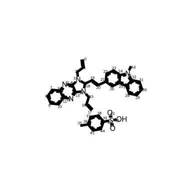 C=CCN1c2nc3ccccc3nc2N(CC=C)C1C=Cc1ccc2c(c1)c1ccccc1n2C.Cc1ccc(S(=O)(=O)O)cc1